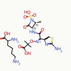 C[C@H]1[C@H](NC(=O)/C(=N\OC(C)(C)C(=O)O)c2csc(N)n2)C(=O)N1S(=O)(=O)O.NCCCCC(N)C(=O)O